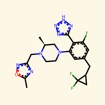 Cc1nc(CN2CCN(c3cc(CC4CC4(F)F)cc(F)c3-c3nn[nH]n3)C[C@@H]2C)no1